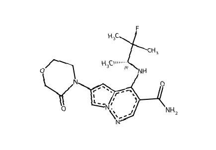 C[C@@H](Nc1c(C(N)=O)cnn2cc(N3CCOCC3=O)cc12)C(C)(C)F